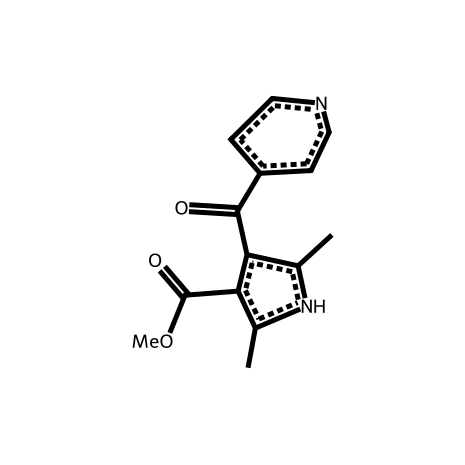 COC(=O)c1c(C)[nH]c(C)c1C(=O)c1ccncc1